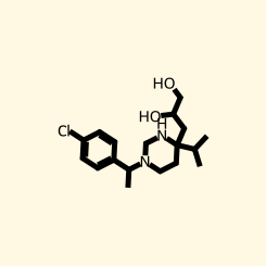 CC(c1ccc(Cl)cc1)N1CCC(CC(O)CO)(C(C)C)NC1